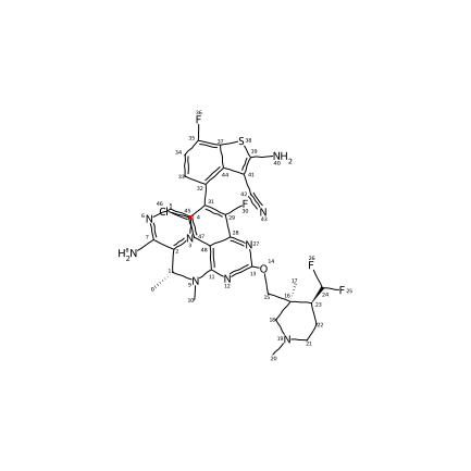 C[C@H](c1nccnc1N)N(C)c1nc(OC[C@]2(C)CN(C)CC[C@@H]2C(F)F)nc2c(F)c(-c3ccc(F)c4sc(N)c(C#N)c34)c(Cl)cc12